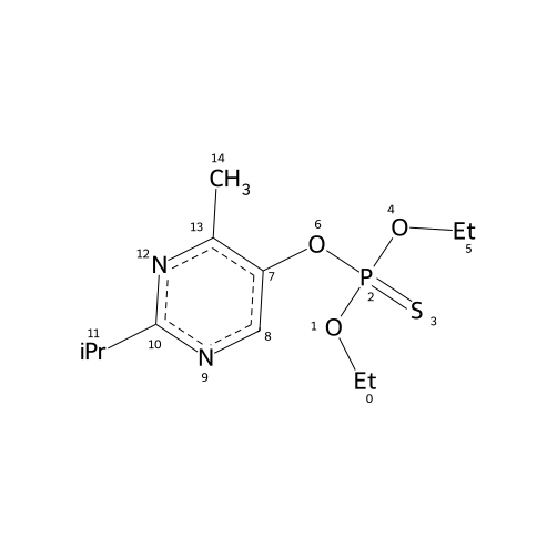 CCOP(=S)(OCC)Oc1cnc(C(C)C)nc1C